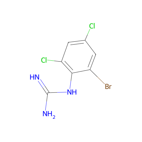 N=C(N)Nc1c(Cl)cc(Cl)cc1Br